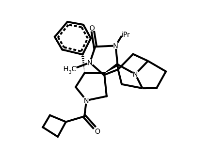 CC(C)N1C(=O)N(C)CC12CC1CCC(C2)N1C[C@H]1CN(C(=O)C2CCC2)C[C@@H]1c1ccccc1